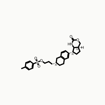 Cc1ccc(S(=O)(=O)OCCC[C@H]2CCc3cc([C@H]4CC[C@@H]5COC(=O)NC54)ccc3C2)cc1